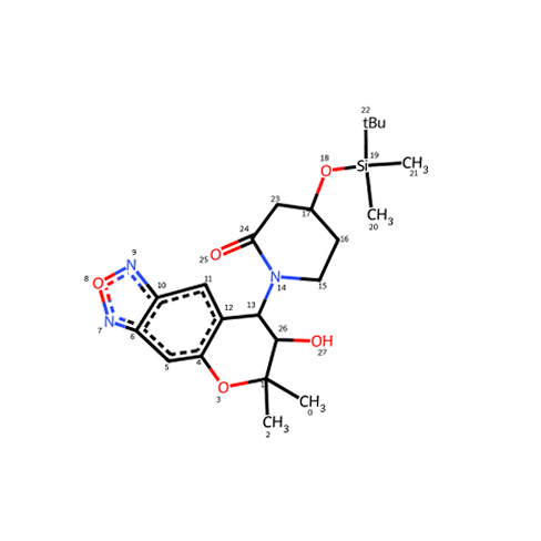 CC1(C)Oc2cc3nonc3cc2C(N2CCC(O[Si](C)(C)C(C)(C)C)CC2=O)C1O